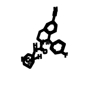 N#Cc1ccc2c(c1)CCN(C(=O)N[C@H]1CN3CCC1CC3)[C@@H]2c1ccc(F)cc1